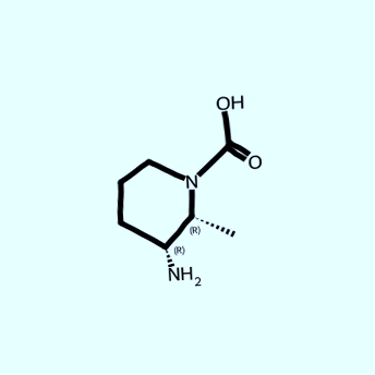 C[C@@H]1[C@H](N)CCCN1C(=O)O